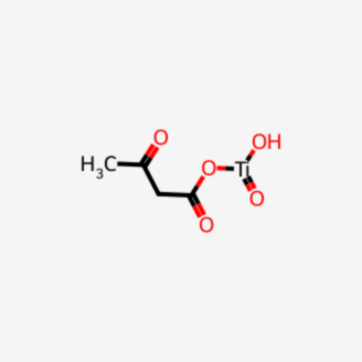 CC(=O)CC(=O)[O][Ti](=[O])[OH]